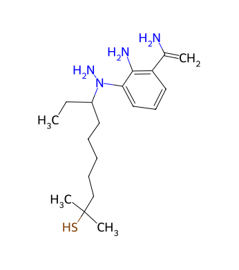 C=C(N)c1cccc(N(N)C(CC)CCCCCC(C)(C)S)c1N